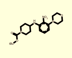 CC(C)(C)OC(=O)N1CCC(Nc2cccc(N3CCOCC3)c2[N+](=O)[O-])CC1